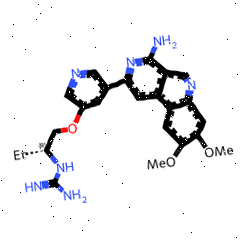 CC[C@H](COc1cncc(-c2cc3c(cnc4cc(OC)c(OC)cc43)c(N)n2)c1)NC(=N)N